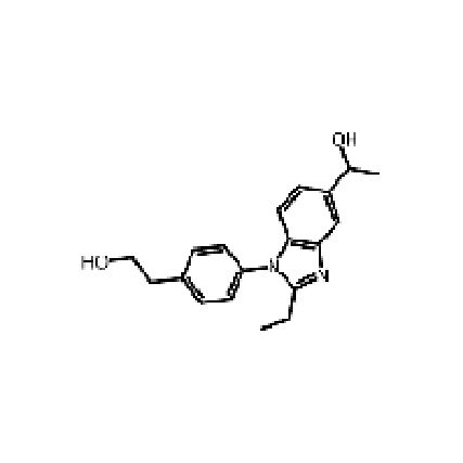 CCc1nc2cc(C(C)O)ccc2n1-c1ccc(CCO)cc1